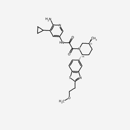 COCCc1nc2cc([C@H]3CC[C@H](C)CN3C(=O)C(=O)Nc3cnc(N)c(C4CC4)c3)ccc2s1